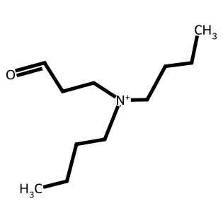 CCCC[N+](CCC=O)CCCC